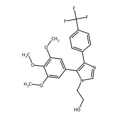 COc1cc(-c2c(-c3ccc(C(F)(F)F)cc3)ncn2CCO)cc(OC)c1OC